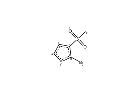 CS(=O)(=O)c1ccsc1Br